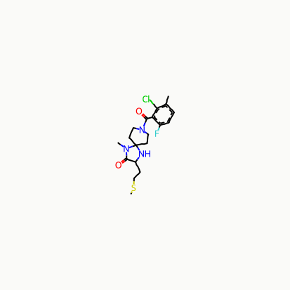 CSCCC1NC2(CCN(C(=O)c3c(F)ccc(C)c3Cl)CC2)N(C)C1=O